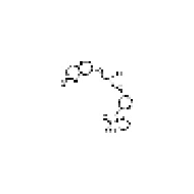 O=C(O)C1(Cc2cccc(OC[C@@H](O)COc3ccc4ccc(=O)oc4c3)c2)CCCO1